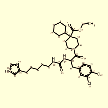 CCOC(=O)C1(C2CCCCC2)CCN(C(=O)C(Cc2ccc(Cl)c(Cl)c2)NC(=O)NCCCCCc2c[nH]cn2)CC1